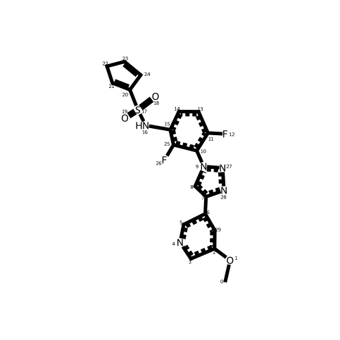 COc1cncc(-c2cn(-c3c(F)ccc(NS(=O)(=O)C4=CCC=C4)c3F)nn2)c1